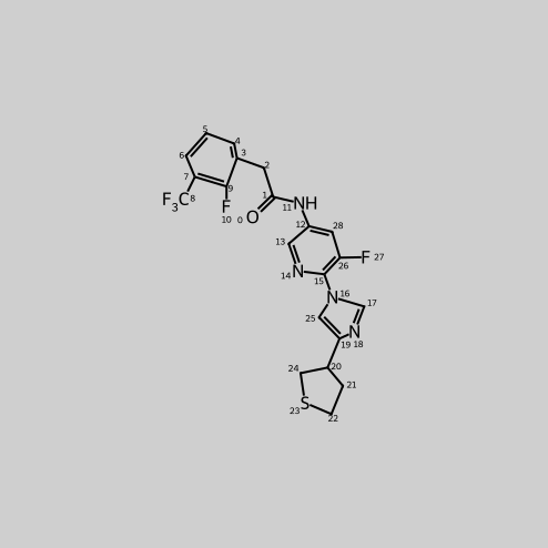 O=C(Cc1cccc(C(F)(F)F)c1F)Nc1cnc(-n2cnc(C3CCSC3)c2)c(F)c1